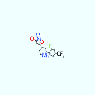 O=c1cc([C@H]2CCN[C@H](c3ccc(C(F)(F)F)cc3F)C2)o[nH]1